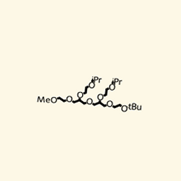 COCCOCC(COCC(COCCOC(C)(C)C)OCCOC(C)C)OCCOC(C)C